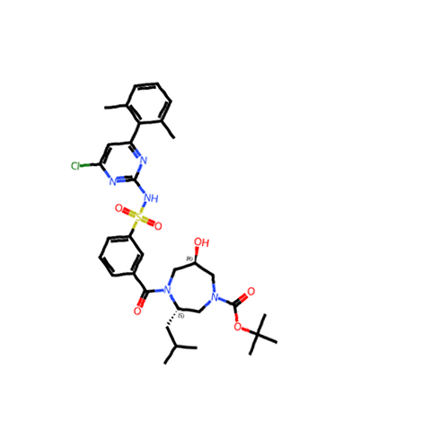 Cc1cccc(C)c1-c1cc(Cl)nc(NS(=O)(=O)c2cccc(C(=O)N3C[C@@H](O)CN(C(=O)OC(C)(C)C)C[C@@H]3CC(C)C)c2)n1